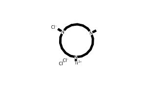 CN1CCCCCN(C)CCCCC[N]([Ti+3])CCCCC1.[Cl-].[Cl-].[Cl-]